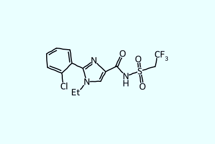 CCn1cc(C(=O)NS(=O)(=O)CC(F)(F)F)nc1-c1ccccc1Cl